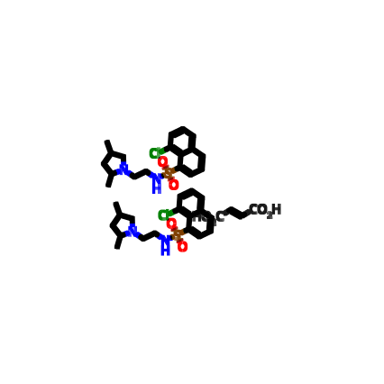 CC1CC(C)N(CCNS(=O)(=O)c2cccc3cccc(Cl)c23)C1.CC1CC(C)N(CCNS(=O)(=O)c2cccc3cccc(Cl)c23)C1.O=C(O)/C=C/C(=O)O